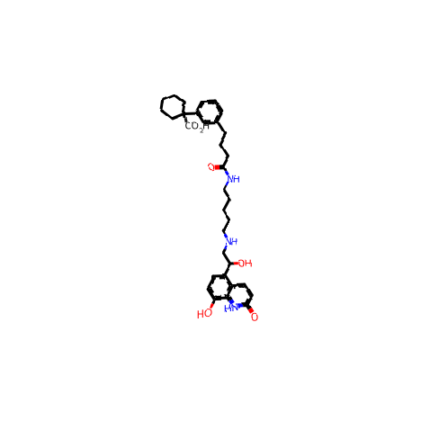 O=C(CCCc1cccc(C2(C(=O)O)CCCCC2)c1)NCCCCCNCC(O)c1ccc(O)c2[nH]c(=O)ccc12